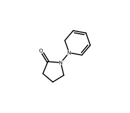 O=C1CCCN1N1C=CC=CC1